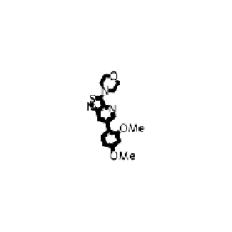 COc1ccc(-c2cnc3c(N4CCOCC4)snc3c2)c(OC)c1